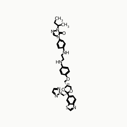 CCC(C)n1ncn(-c2ccc(NCCNc3ccc(OC[C@@H]4CO[C@@](Cn5nccn5)(c5ccc6ncsc6c5)O4)cc3)cc2)c1=O